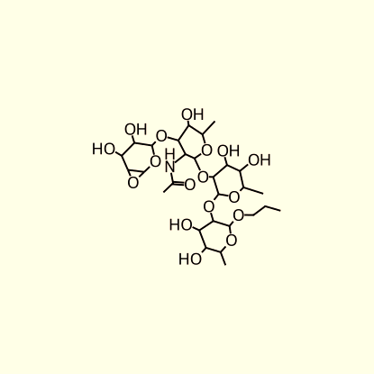 CCCOC1OC(C)C(O)C(O)C1OC1OC(C)C(O)C(O)C1OC1OC(C)C(O)C(OC2OC3OC3C(O)C2O)C1NC(C)=O